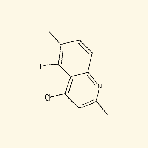 Cc1cc(Cl)c2c(I)c(C)ccc2n1